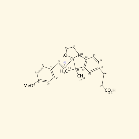 COc1ccc(/C=C/C23OCCN2c2ccc(CCC(=O)O)cc2C3(C)C)cc1